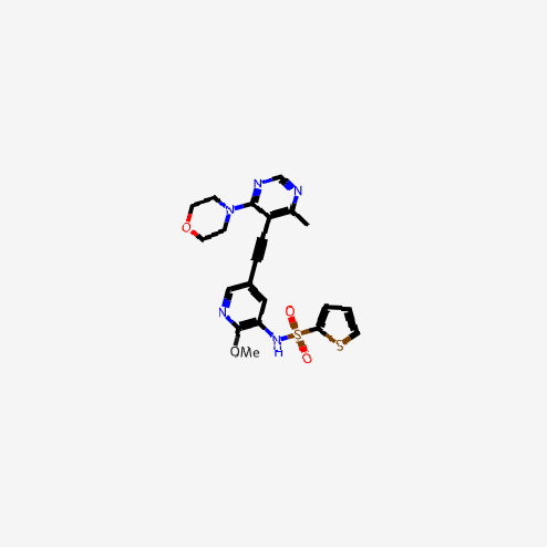 COc1ncc(C#Cc2c(C)ncnc2N2CCOCC2)cc1NS(=O)(=O)c1cccs1